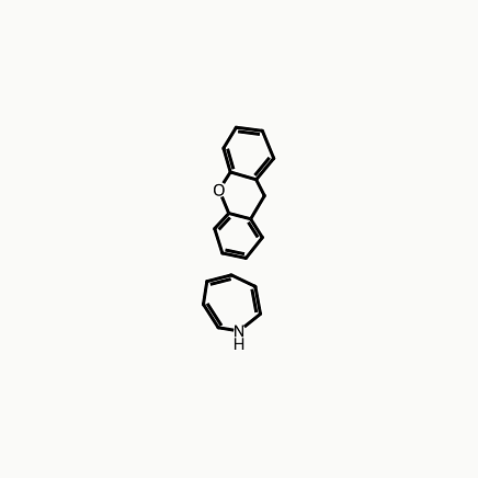 C1=CC=CNC=C1.c1ccc2c(c1)Cc1ccccc1O2